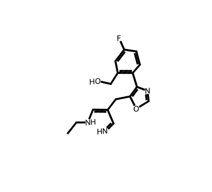 CCN/C=C(\C=N)Cc1ocnc1-c1ccc(F)cc1CO